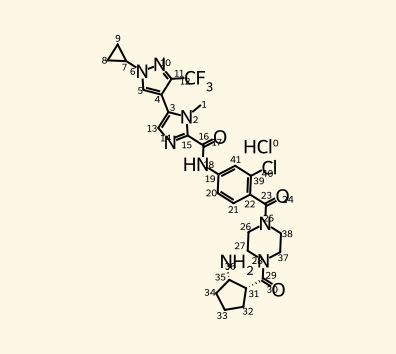 Cl.Cn1c(-c2cn(C3CC3)nc2C(F)(F)F)cnc1C(=O)Nc1ccc(C(=O)N2CCN(C(=O)[C@@H]3CCC[C@@H]3N)CC2)c(Cl)c1